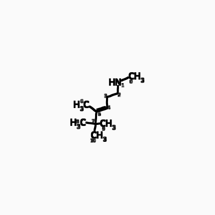 CNCC/C=C(\C)C(C)(C)C